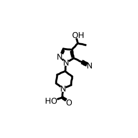 CC(O)c1cnn(C2CCN(C(=O)O)CC2)c1C#N